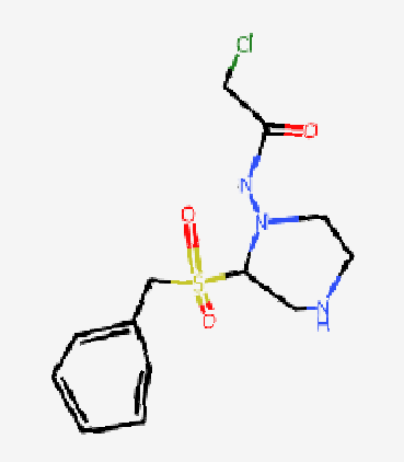 O=C(CCl)[N]N1CCNCC1S(=O)(=O)Cc1ccccc1